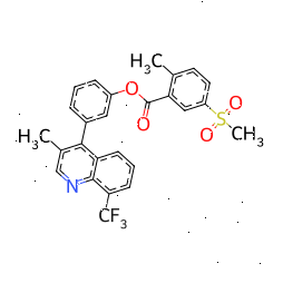 Cc1ccc(S(C)(=O)=O)cc1C(=O)Oc1cccc(-c2c(C)cnc3c(C(F)(F)F)cccc23)c1